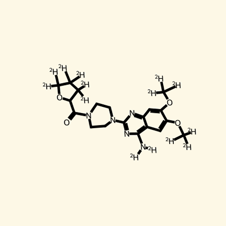 [2H]N([2H])c1nc(N2CCN(C(=O)C3OC([2H])([2H])C([2H])([2H])C3([2H])[2H])CC2)nc2cc(OC([2H])([2H])[2H])c(OC([2H])([2H])[2H])cc12